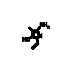 C=Cc1nc(N)n(C)c1O